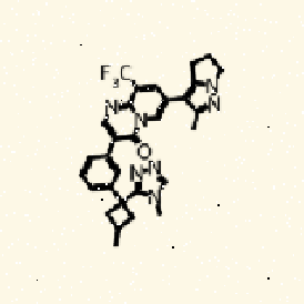 Cc1nn2c(c1-c1cc(C(F)(F)F)c3ncc(-c4cccc(C5(c6nncn6C)CC(C)C5)c4)c(=O)n3c1)CCC2